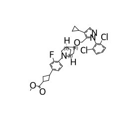 COC(=O)C1CC(c2ccc(N3C[C@@H]4C[C@H]3C[C@H]4OCc3c(C4CC4)cnn3-c3c(Cl)cccc3Cl)c(F)c2)C1